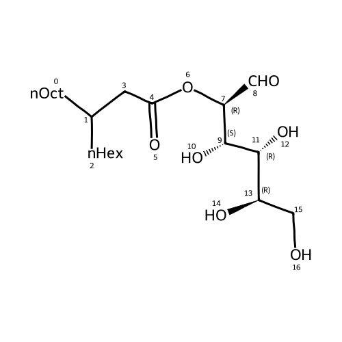 CCCCCCCCC(CCCCCC)CC(=O)O[C@@H](C=O)[C@@H](O)[C@H](O)[C@H](O)CO